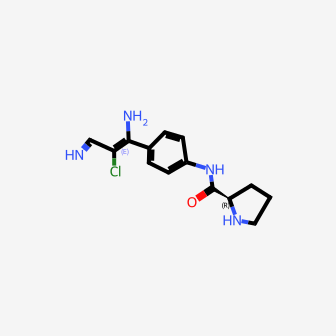 N=C/C(Cl)=C(\N)c1ccc(NC(=O)[C@H]2CCCN2)cc1